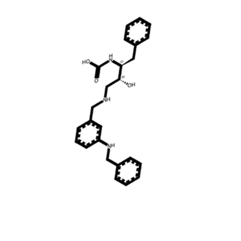 O=C(O)N[C@@H](Cc1ccccc1)[C@H](O)CNCc1cccc(NCc2ccccc2)c1